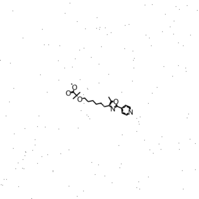 COC(=O)C(C)(C)OCCCCCCc1nc(-c2ccncc2)oc1C